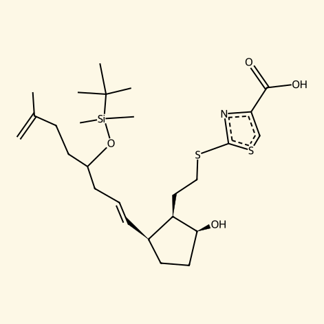 C=C(C)CCC(C/C=C/[C@@H]1CC[C@H](O)[C@@H]1CCSc1nc(C(=O)O)cs1)O[Si](C)(C)C(C)(C)C